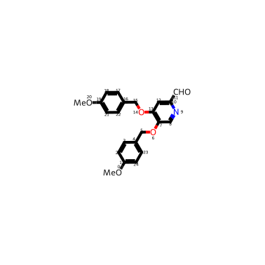 COc1ccc(COc2cnc(C=O)cc2OCc2ccc(OC)cc2)cc1